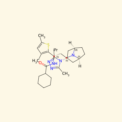 Cc1cc(C)c([C@H](CCN2[C@@H]3CC[C@H]2C[C@H](n2c(C)nnc2C(C)C)C3)NC(=O)C2CCCCC2)s1